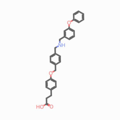 O=C(O)CCc1ccc(OCc2ccc(CNCc3cccc(Oc4ccccc4)c3)cc2)cc1